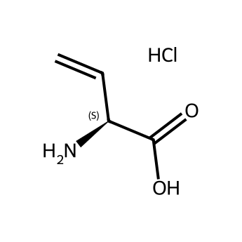 C=C[C@H](N)C(=O)O.Cl